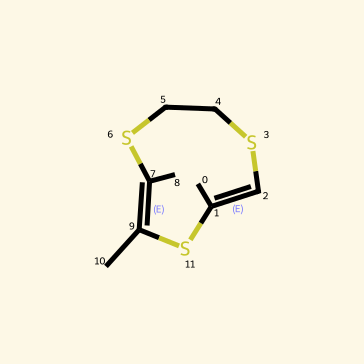 C/C1=C\SCCS/C(C)=C(\C)S1